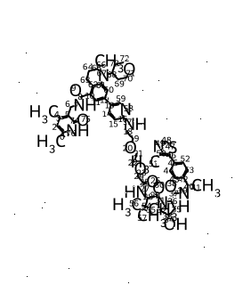 Cc1cc(C)c(CNC(=O)c2cc(-c3ccc(NCCOCCOCC(=O)N[C@H](C(=O)N4C[C@H](O)C[C@H]4C(=O)N[C@@H](C)c4ccc(-c5scnc5C)cc4)C(C)(C)C)nc3)cc3c2CCC(C)N3C2CCOCC2)c(=O)[nH]1